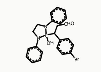 O=CCC(c1ccc(Br)cc1)[P]1(O)N(c2ccccc2)CCN1c1ccccc1